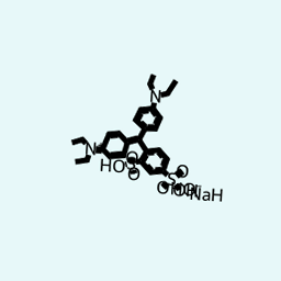 CCN(CC)c1ccc(C(=C2C=CC(=[N+](CC)CC)C=C2)c2ccc(S(=O)(=O)O)cc2S(=O)(=O)O)cc1.[NaH].[OH-]